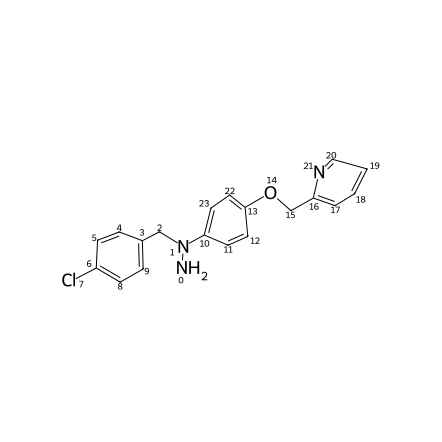 NN(Cc1ccc(Cl)cc1)c1ccc(OCc2ccccn2)cc1